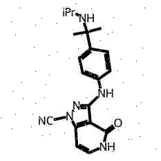 CC(C)NC(C)(C)c1ccc(Nc2nn(C#N)c3cc[nH]c(=O)c23)cc1